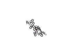 CC1(C)c2ccccc2-c2ccc(-c3cc4c(c5c3oc3ccccc35)-c3ccc5c(c3C4(C)C)C(C)(C)c3cc(-c4ccc6c(c4)C(C)(C)c4ccccc4-6)c4c(oc6ccccc64)c3-5)cc21